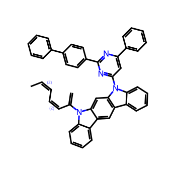 C=C(/C=C\C=C/C)n1c2ccccc2c2cc3c4ccccc4n(-c4cc(-c5ccccc5)nc(-c5ccc(-c6ccccc6)cc5)n4)c3cc21